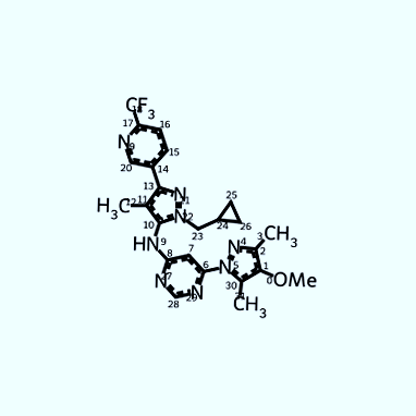 COc1c(C)nn(-c2cc(Nc3c(C)c(-c4ccc(C(F)(F)F)nc4)nn3CC3CC3)ncn2)c1C